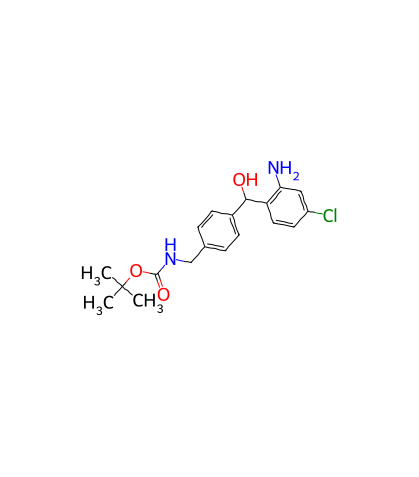 CC(C)(C)OC(=O)NCc1ccc(C(O)c2ccc(Cl)cc2N)cc1